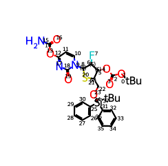 CC(C)(C)OC(=O)O[C@H]1[C@H](F)[C@H](n2ccc(OC(N)=O)nc2=O)S[C@@H]1CO[Si](c1ccccc1)(c1ccccc1)C(C)(C)C